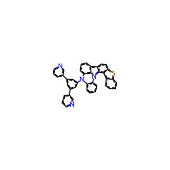 c1cncc(-c2cc(-c3cccnc3)cc(N3c4ccccc4-n4c5c3cccc5c3ccc5sc6ccccc6c5c34)c2)c1